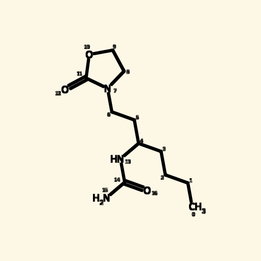 CCCCC(CCN1CCOC1=O)NC(N)=O